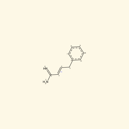 N=C(N)/C=C/Cc1ccccc1